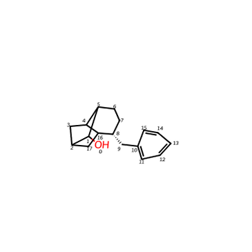 OC1C2CC3C1CC[C@H](Cc1ccccc1)C3C2